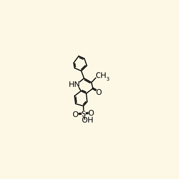 Cc1c(-c2ccccc2)[nH]c2ccc(S(=O)(=O)O)cc2c1=O